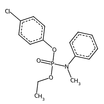 CCOP(=O)(Oc1ccc(Cl)cc1)N(C)c1ccccc1